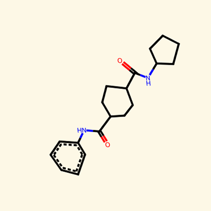 O=C(Nc1ccccc1)C1CCC(C(=O)NC2CCCC2)CC1